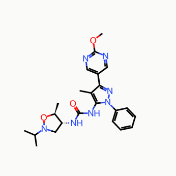 COc1ncc(-c2nn(-c3ccccc3)c(NC(=O)N[C@@H]3CN(C(C)C)O[C@H]3C)c2C)cn1